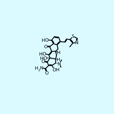 Cc1ncsc1/C=C/c1ccc(O)c2c1C[C@@H]1C[C@H]3[C@H](N(C)C)C(O)=C(C(N)=O)C(=O)[C@]3(O)C(O)=C1C2=O